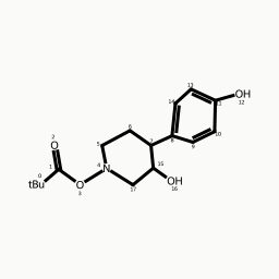 CC(C)(C)C(=O)ON1CCC(c2ccc(O)cc2)C(O)C1